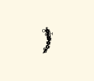 CCOC(=O)C[C@H]1CC[C@H](c2ccc(-c3ccc4nc(C(=O)Nc5ccc(F)c(Cl)c5)cn4c3)cc2)CC1